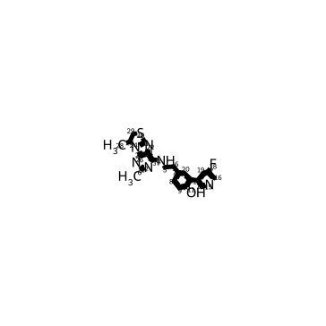 Cc1nc(NCCc2ccc(O)c(-c3cncc(F)c3)c2)c2nc3n(c2n1)C(C)CS3